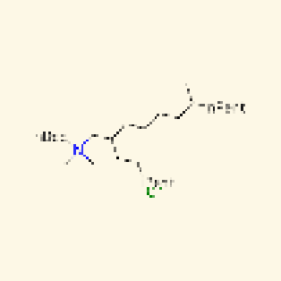 CCCCCCCCCC[N+](C)(C)CC(CCCCC(C)CCCCC)CCC(C)CCC.[Cl-]